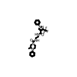 CC1CN(C(=O)NCCNC(=O)c2cn(-c3ccccc3)nc2C(F)(F)F)CCN1c1ccccc1